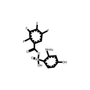 CC(=O)Nc1cc(O)ccc1[As](=O)(O)OC(=O)c1cc(F)c(F)c(F)c1F